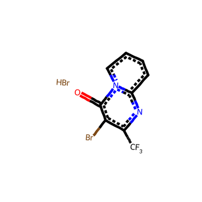 Br.O=c1c(Br)c(C(F)(F)F)nc2ccccn12